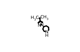 CC(C)c1cnn(C2CCCNCC2)c1